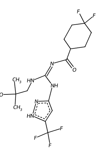 CC(C)(O)CN/C(=N/C(=O)C1CCC(F)(F)CC1)Nc1cc(C(F)(F)F)[nH]n1